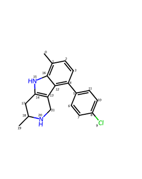 Cc1ccc(-c2ccc(Cl)cc2)c2c3c([nH]c12)CC(C)NC3